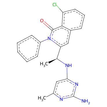 Cc1cc(N[C@@H](C)c2cc3cccc(Cl)c3c(=O)n2-c2ccccc2)nc(N)n1